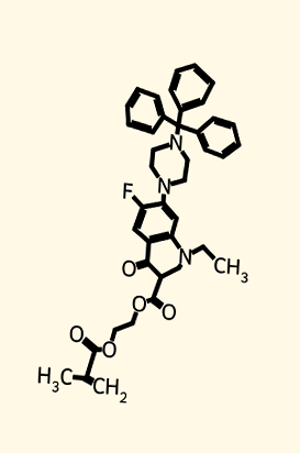 C=C(C)C(=O)OCCOC(=O)C1CN(CC)c2cc(N3CCN(C(c4ccccc4)(c4ccccc4)c4ccccc4)CC3)c(F)cc2C1=O